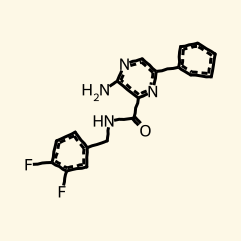 Nc1ncc(-c2ccccc2)nc1C(=O)NCc1ccc(F)c(F)c1